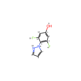 Oc1cc(F)c(-n2cccn2)c(F)c1